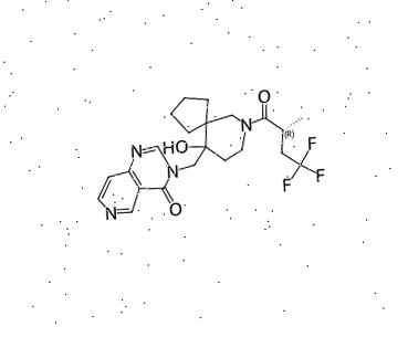 C[C@H](CC(F)(F)F)C(=O)N1CCC(O)(Cn2cnc3ccncc3c2=O)C2(CCCC2)C1